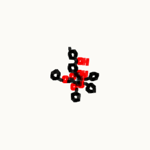 Cc1ccc(C(O)c2cccc([C@]3(O)O[C@H](COCc4ccccc4)C(OCc4ccccc4)[C@H](OCc4ccccc4)[C@H]3OCc3ccccc3)c2)cc1